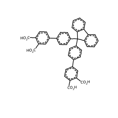 O=C(O)c1ccc(-c2ccc(C3(c4ccc(-c5ccc(C(=O)O)c(C(=O)O)c5)cc4)c4ccccc4-c4ccccc43)cc2)cc1C(=O)O